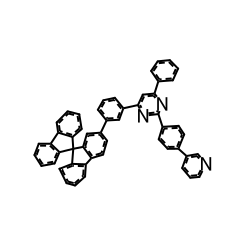 c1ccc(-c2cc(-c3cccc(-c4ccc5c(c4)C4(c6ccccc6-c6ccccc64)c4ccccc4-5)c3)nc(-c3ccc(-c4cccnc4)cc3)n2)cc1